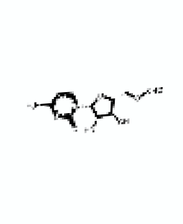 Nc1ccn([C@@H]2O[C@H](COC=O)[C@@H](O)[C@H]2O)c(=O)n1